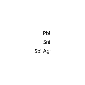 [Ag].[Pb].[Sb].[Sn]